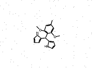 COc1cc(C)cc(OC)c1C(c1ccc[nH]1)c1ccc[nH]1